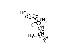 CCNc1nc(CC)cc(-c2nc(-c3cc(C)c(OCC(O)CNC(=O)CO)c(CC)c3)no2)n1